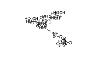 Cc1c(-c2cccc(CCC(=O)NCCCCCCCC(=O)N[C@H](CCC(=O)NC[C@H](O)[C@@H](O)[C@H](O)[C@H](O)CO)C(=O)N[C@H](CCC(=O)O)C(=O)N[C@@H](C=O)CCC(=O)NC[C@H](O)[C@@H](O)[C@H](O)[C@H](O)CO)c2)c(=O)n(C[C@@H](N)c2ccccc2)c(=O)n1Cc1c(F)cccc1F